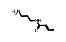 CC=CC(=O)NCCCN